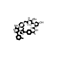 Cc1cccc(-c2cc(N3CCN(CC(=O)N[C@H](C(=O)N4C[C@H](O)C[C@H]4C(=O)N[C@@H](C)c4ccc(-c5scnc5C)cc4)C(C)(C)C)CC3)c(N)nn2)c1